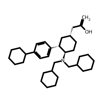 C=C(O)C[C@@H]1CC[C@@H](N(CC2CCCCC2)CC2CCCCC2)[C@H](c2ccc(C3CCCCC3)cc2)C1